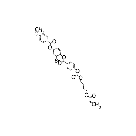 C=CC(=O)OCCCCOC(=O)Oc1ccc(C(=O)Oc2ccc(OC(=O)c3ccc(OC)cc3)cc2Br)cc1